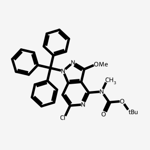 COc1nn(C(c2ccccc2)(c2ccccc2)c2ccccc2)c2cc(Cl)nc(N(C)C(=O)OC(C)(C)C)c12